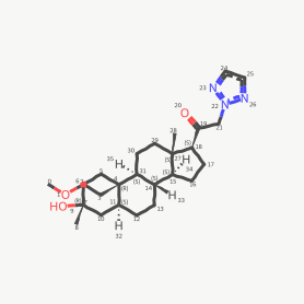 COCC[C@]12CC[C@@](C)(O)C[C@@H]1CC[C@H]1[C@@H]3CC[C@H](C(=O)Cn4nccn4)[C@@]3(C)CC[C@@H]12